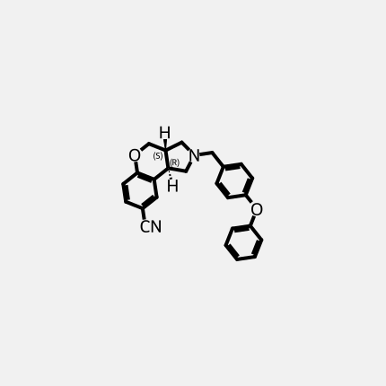 N#Cc1ccc2c(c1)[C@@H]1CN(Cc3ccc(Oc4ccccc4)cc3)C[C@H]1CO2